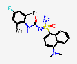 CC(C)c1cc(F)cc(C(C)C)c1NC(=O)N=S(N)(=O)c1ccc(N(C)C)c2ccccc12